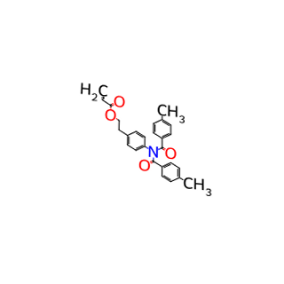 C=CC(=O)OCCc1ccc(N(C(=O)c2ccc(C)cc2)C(=O)c2ccc(C)cc2)cc1